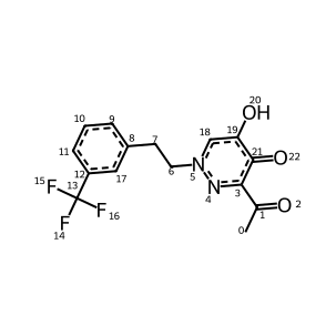 CC(=O)c1nn(CCc2cccc(C(F)(F)F)c2)cc(O)c1=O